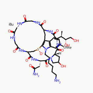 CC[C@H](C)[C@@H]1NC(=O)CNC(=O)C2Cc3c(n(CCCCCCN)c4cc(OC)ccc34)[S@+]([O-])CC(NC(=O)CNC1=O)C(=O)N[C@@H](CC(N)=O)C(=O)N1CC(O)C[C@H]1C(=O)N[C@@H]([C@@H](C)[C@@H](O)CO)C(=O)N2